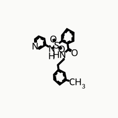 Cc1cccc(CCNC(=O)c2ccccc2S(=O)(=O)Nc2cccnc2)c1